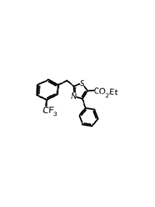 CCOC(=O)c1sc(Cc2cccc(C(F)(F)F)c2)nc1-c1ccccc1